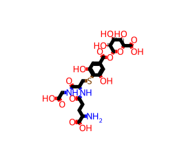 NC(CCC(=O)NC(CSc1c(O)cc(C(=O)OC2OC(C(=O)O)[C@@H](O)[C@H](O)[C@H]2O)cc1O)C(=O)NCC(=O)O)C(=O)O